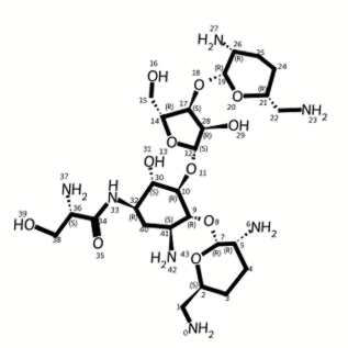 NC[C@@H]1CC[C@@H](N)[C@@H](O[C@H]2[C@H](O[C@@H]3O[C@H](CO)[C@@H](O[C@H]4O[C@@H](CN)CC[C@H]4N)[C@H]3O)[C@@H](O)[C@H](NC(=O)[C@@H](N)CO)C[C@@H]2N)O1